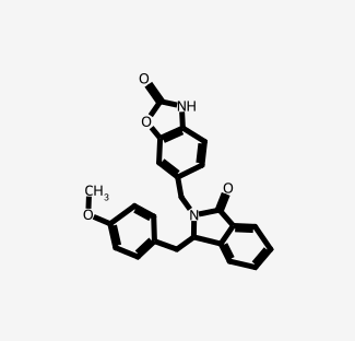 COc1ccc(CC2c3ccccc3C(=O)N2Cc2ccc3[nH]c(=O)oc3c2)cc1